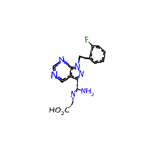 NC(=NCC(=O)O)c1nn(Cc2ccccc2F)c2ncncc12